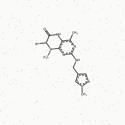 Cc1nc(NCc2cnn(C)c2)nc2c1NC(=O)C(C(C)C)N2C